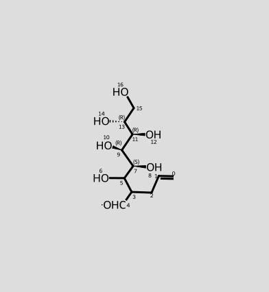 C=CCC([C]=O)C(O)[C@H](O)[C@@H](O)[C@H](O)[C@H](O)CO